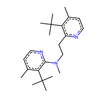 Cc1ccnc(CCN(C)c2nccc(C)c2C(C)(C)C)c1C(C)(C)C